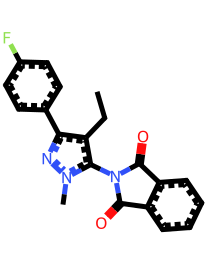 CCc1c(-c2ccc(F)cc2)nn(C)c1N1C(=O)c2ccccc2C1=O